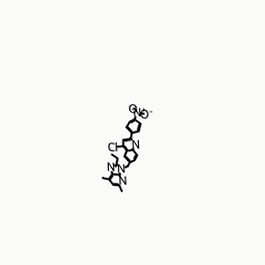 CCc1nc2c(C)cc(C)nc2n1Cc1ccc2nc(-c3ccc([N+](=O)[O-])cc3)cc(Cl)c2c1